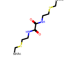 CC(=O)NCSCCNC(=O)C(=O)NCCSCNC(C)=O